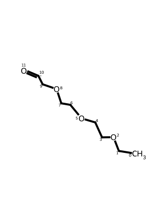 CCOCCOCCOC[C]=O